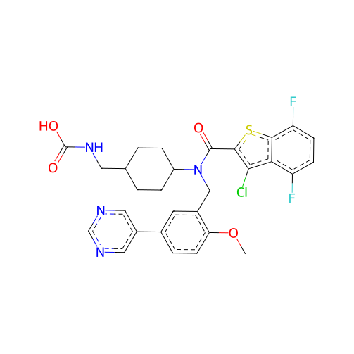 COc1ccc(-c2cncnc2)cc1CN(C(=O)c1sc2c(F)ccc(F)c2c1Cl)C1CCC(CNC(=O)O)CC1